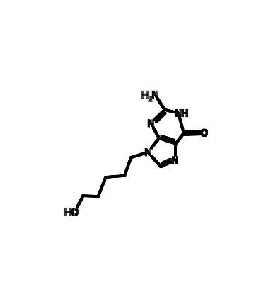 Nc1nc2c(ncn2CCCCCO)c(=O)[nH]1